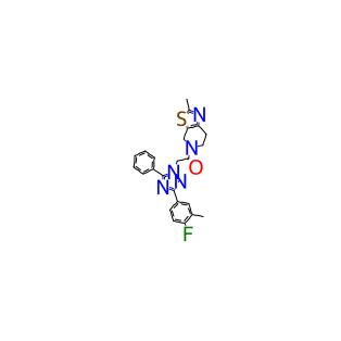 Cc1nc2c(s1)CN(C(=O)Cn1nc(-c3ccc(F)c(C)c3)nc1-c1ccccc1)CC2